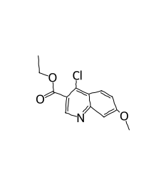 CCOC(=O)c1cnc2cc(OC)ccc2c1Cl